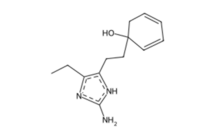 CCc1nc(N)[nH]c1CCC1(O)C=CC=CC1